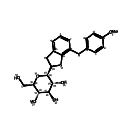 COc1ccc(Cc2cccc3c2SC([C@@H]2O[C@H](CO)[C@@H](O)[C@H](O)[C@H]2O)C3)cc1